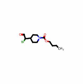 CCCCOC(=O)N1CCC(C(Br)C=O)CC1